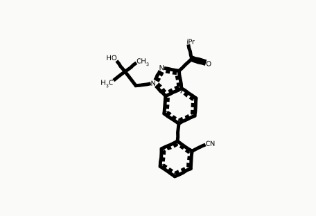 CC(C)C(=O)c1nn(CC(C)(C)O)c2cc(-c3ccccc3C#N)ccc12